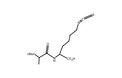 CCCCCCCCCC(C)C(=O)NC(CCCCN=C=S)C(=O)O